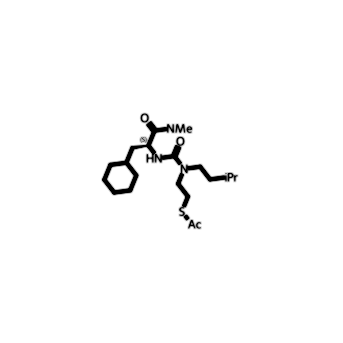 CNC(=O)[C@H](CC1CCCCC1)NC(=O)N(CCSC(C)=O)CCC(C)C